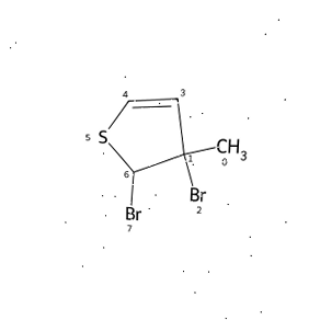 CC1(Br)C=CSC1Br